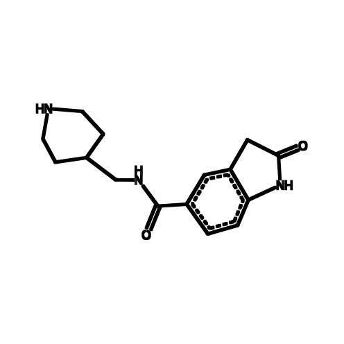 O=C1Cc2cc(C(=O)NCC3CCNCC3)ccc2N1